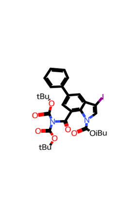 CC(C)COC(=O)n1cc(I)c2cc(-c3ccccc3)cc(C(=O)N(C(=O)OC(C)(C)C)C(=O)OC(C)(C)C)c21